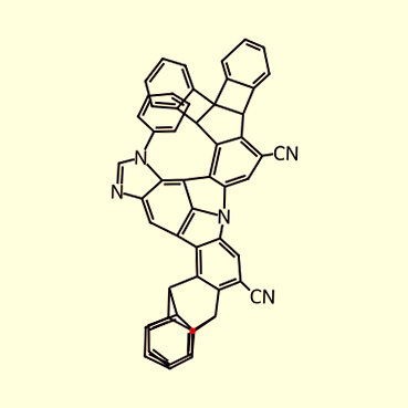 N#Cc1cc2c(c3c1C1c4ccccc4C3c3ccccc31)c1cc3ncn(-c4ccccc4)c3c3c4c5c(c(C#N)cc4n2c13)C1c2ccccc2C12c1ccccc1C52